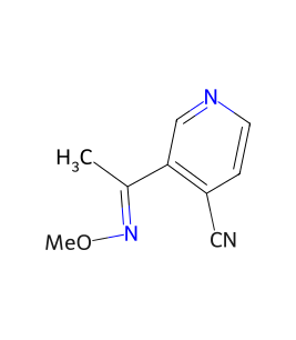 CON=C(C)c1cnccc1C#N